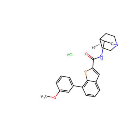 COc1cccc(-c2cccc3cc(C(=O)N[C@@H]4CN5CCC4CC5)sc23)c1.Cl